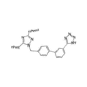 CCCCCc1nc(CCCCC)n(Cc2ccc(-c3cccc(-c4nnn[nH]4)c3)cc2)n1